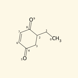 CCC1CC(=O)C=CC1=O